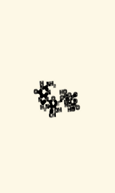 C#CC1(N)[C@@H](O)[C@@H](COP(=O)(O)OP(=O)(O)OP(=O)(O)O)O[C@H]1n1cnc2c(=O)[nH]c(N)nc21